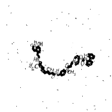 C=C(/C=C\C=C(/C)CNCCc1ccc(O)c2[nH]c(=O)ccc12)CCC(=O)NCc1ccc(N(C)C(=O)CCN2CCC(OC(=O)Nc3ccccc3-c3ccccc3)CC2)cc1